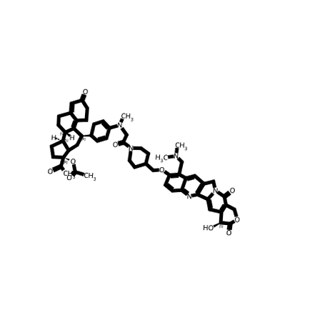 CC(=O)O[C@]1(C(C)=O)CC[C@@H]2C1C[C@H](C1C=CC(N(C)CC(=O)N3CCC(COc4ccc5nc6c(cc5c4CN(C)C)Cn4c-6cc5c(c4=O)COC(=O)[C@H]5O)CC3)=CC1)C1=C3CCC(=O)C=C3CC[C@H]12